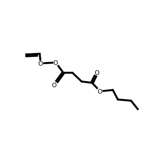 C=COOC(=O)CCC(=O)OCCCC